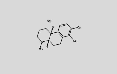 Br.CCCN1CCC[C@@H]2c3ccc(O)c(O)c3CC[C@@H]21